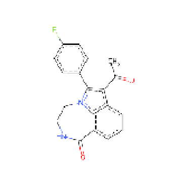 CC(=O)c1c(-c2ccc(F)cc2)n2c3c(cccc13)C(=O)NCC2